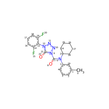 Cc1cccc(N(C(=O)n2nnn(-c3c(F)cccc3F)c2=O)C2CCCCC2)c1